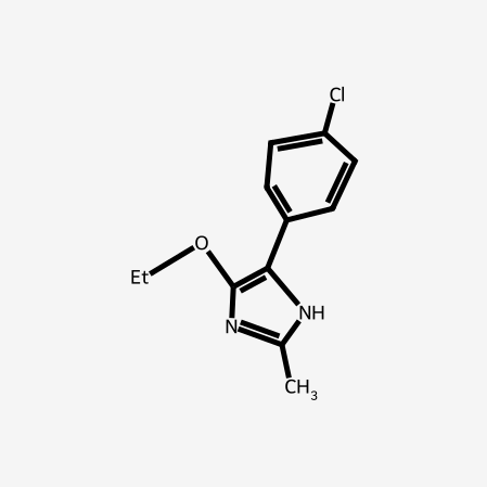 CCOc1nc(C)[nH]c1-c1ccc(Cl)cc1